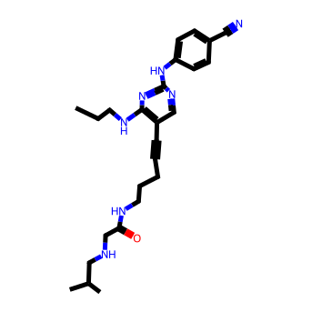 CCCNc1nc(Nc2ccc(C#N)cc2)ncc1C#CCCCNC(=O)CNCC(C)C